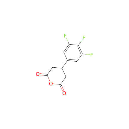 O=C1CC(c2cc(F)c(F)c(F)c2)CC(=O)O1